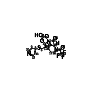 O=C(O)OC1=C(CSc2ccncc2)C2CCN(C(=O)C(F)(F)F)[C@@H]3C(=O)N1[C@H]23